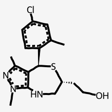 Cc1cc(Cl)ccc1[C@H]1S[C@H](CCO)CNc2c1c(C)nn2C